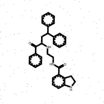 O=C(NCCNC(CC(c1ccccc1)c1ccccc1)C(=O)c1ccccc1)c1cccc2c1CCN2